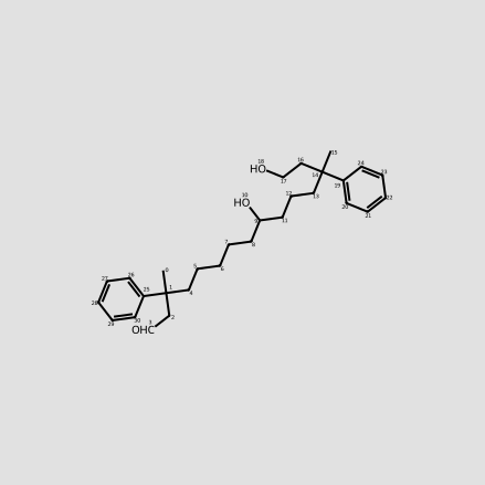 CC(CC=O)(CCCCCC(O)CCCC(C)(CCO)c1ccccc1)c1ccccc1